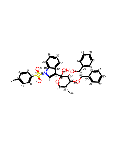 Cc1ccc(S(=O)(=O)n2cc(C3(O)OC[C@@H](C)[C@H](OCc4ccccc4)[C@H]3OCc3ccccc3)c3ccccc32)cc1